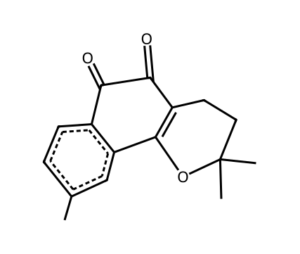 Cc1ccc2c(c1)C1=C(CCC(C)(C)O1)C(=O)C2=O